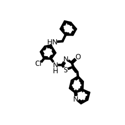 O=C1N=C(Nc2cc(NCc3ccccc3)ccc2Cl)S/C1=C\c1ccc2ncccc2c1